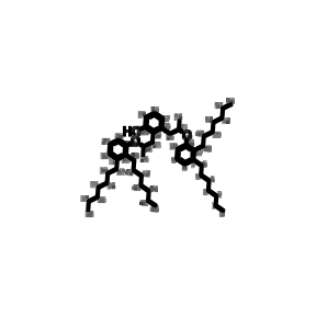 CCCCCCCc1cccc(OC(C)Cc2cccc(O)c2CC(C)Oc2cccc(CCCCCCC)c2CCCCCCC)c1CCCCCCC